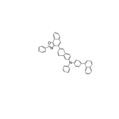 c1ccc(-c2nc3c(-c4ccc5cc(N(c6ccccc6)c6ccc(-c7cccc8ccccc78)cc6)ccc5c4)cc4ccccc4c3o2)cc1